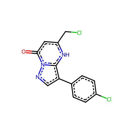 O=c1cc(CCl)[nH]c2c(-c3ccc(Cl)cc3)cnn12